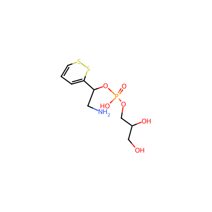 NCC(OP(=O)(O)OCC(O)CO)C1=CC=CSS1